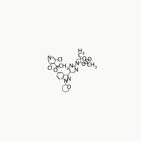 C[C@@H](Oc1ccc2c(c1)c(-c1cnc(N3CC(C)(OS(C)(=O)=O)C3)nc1)nn2C1CCCCO1)c1c(Cl)cncc1Cl